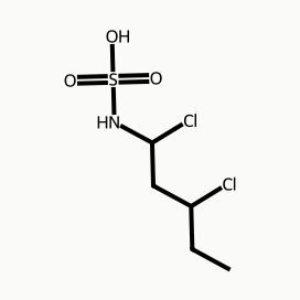 CCC(Cl)CC(Cl)NS(=O)(=O)O